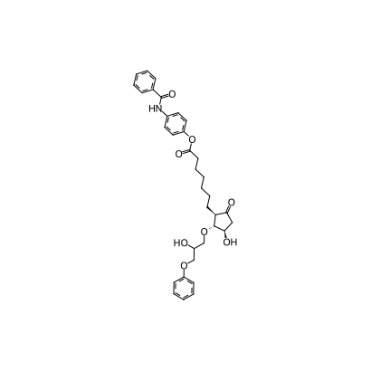 O=C(CCCCCC[C@H]1C(=O)C[C@@H](O)[C@@H]1OCC(O)COc1ccccc1)Oc1ccc(NC(=O)c2ccccc2)cc1